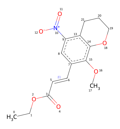 CCOC(=O)/C=C/c1cc([N+](=O)[O-])c2c(c1OC)OCCC2